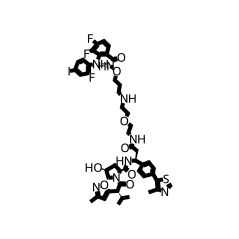 Cc1cc([C@H](C(=O)N2C[C@H](O)C[C@H]2C(=O)N[C@@H](CC(=O)NCCOCCNCCCONC(=O)c2ccc(F)c(F)c2Nc2ccc(I)cc2F)c2ccc(-c3scnc3C)cc2)C(C)C)on1